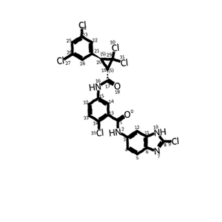 O=C(Nc1ccc2nc(Cl)[nH]c2c1)c1cc(NC(=O)[C@@H]2[C@@H](c3cc(Cl)cc(Cl)c3)C2(Cl)Cl)ccc1Cl